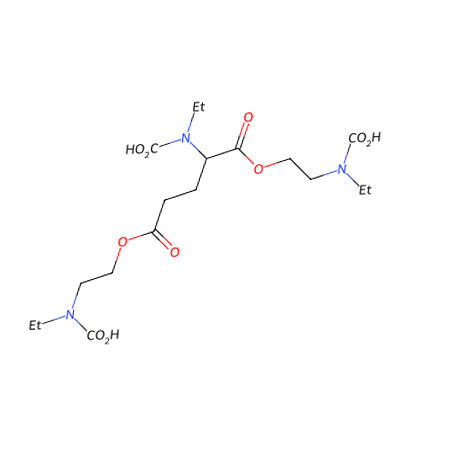 CCN(CCOC(=O)CCC(C(=O)OCCN(CC)C(=O)O)N(CC)C(=O)O)C(=O)O